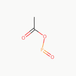 CC(=O)OP=O